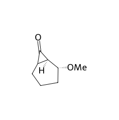 CO[C@@H]1CCCC2C(=O)[C@H]21